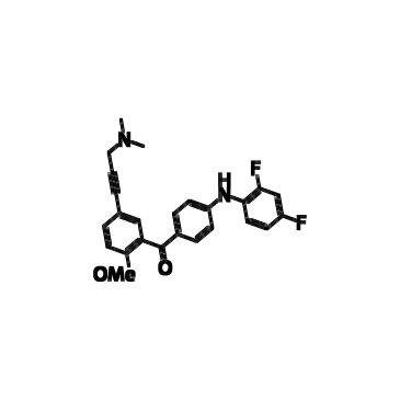 COc1ccc(C#CCN(C)C)cc1C(=O)c1ccc(Nc2ccc(F)cc2F)cc1